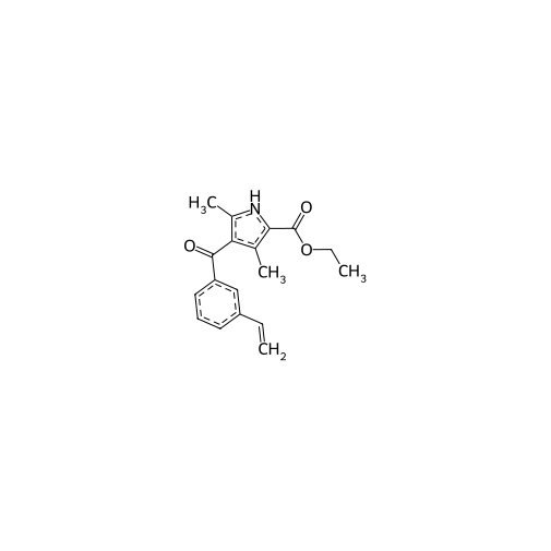 C=Cc1cccc(C(=O)c2c(C)[nH]c(C(=O)OCC)c2C)c1